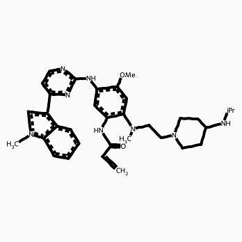 C=CC(=O)Nc1cc(Nc2nccc(-c3cn(C)c4ccccc34)n2)c(OC)cc1N(C)CCN1CCC(NC(C)C)CC1